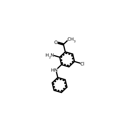 CC(=O)c1cc(Cl)cc(Nc2ccccc2)c1N